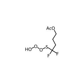 CC(=O)OCCCC(F)(F)SOOO